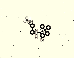 O=C(O)NCc1cccc(-c2cccc3[nH]c(-c4nn(C(c5ccccc5)(c5ccccc5)c5ccccc5)c5ccc(Br)cc45)nc23)c1